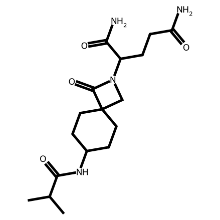 CC(C)C(=O)NC1CCC2(CC1)CN(C(CCC(N)=O)C(N)=O)C2=O